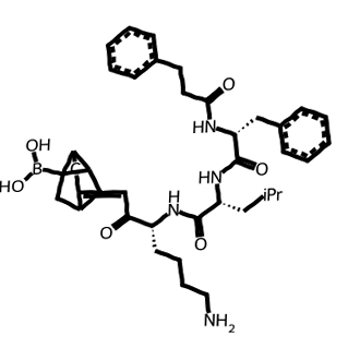 CC(C)C[C@@H](NC(=O)[C@@H](Cc1ccccc1)NC(=O)CCc1ccccc1)C(=O)N[C@H](CCCCN)C(=O)/C=C1/CC2C3CC1CC23B(O)O